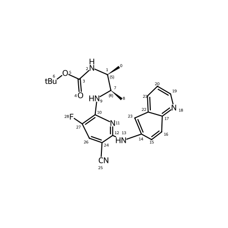 C[C@H](NC(=O)OC(C)(C)C)[C@@H](C)Nc1nc(Nc2ccc3ncccc3c2)c(C#N)cc1F